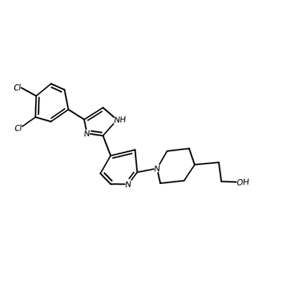 OCCC1CCN(c2cc(-c3nc(-c4ccc(Cl)c(Cl)c4)c[nH]3)ccn2)CC1